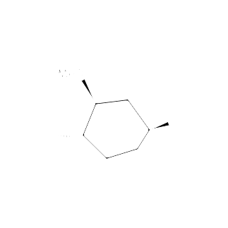 CO[C@H]1C[C@@H](C)CC[C@@H]1C